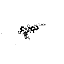 COc1ccc2c(C)c3nc(-c4cc(N)nn4-c4ncccc4Cl)oc(=O)c3cc2n1